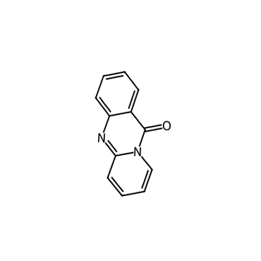 O=c1c2ccccc2nc2ccccn12